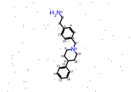 NCCc1ccc(CN2CCC(c3ccccc3)CC2)cc1